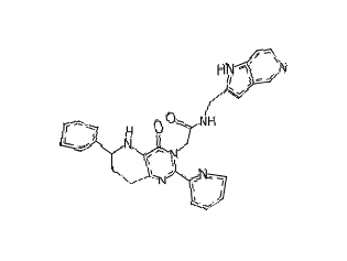 O=C(Cn1c(-c2ccccn2)nc2c(c1=O)NC(c1ccccc1)CC2)NCc1cc2cnccc2[nH]1